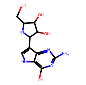 Nc1nc(O)c2[nH]cc(C3NC(CO)C(O)C3O)c2n1